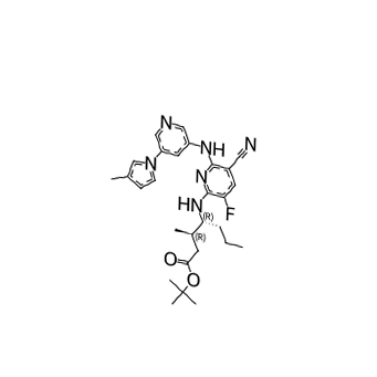 CCC[C@@H](Nc1nc(Nc2cncc(-n3ccc(C)c3)c2)c(C#N)cc1F)[C@H](C)CC(=O)OC(C)(C)C